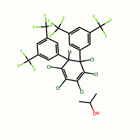 CC(C)O.[Li][C]1(c2cc(C(F)(F)F)cc(C(F)(F)F)c2)C(Cl)=C(Cl)C(Cl)=C(Cl)C1(Cl)c1cc(C(F)(F)F)cc(C(F)(F)F)c1